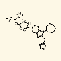 CCC(C)C[C@H](NC(=O)c1ccc2c(c1)nc(Cc1cccs1)n2C1CCCCCC1)C(=O)O